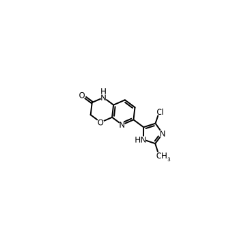 Cc1nc(Cl)c(-c2ccc3c(n2)OCC(=O)N3)[nH]1